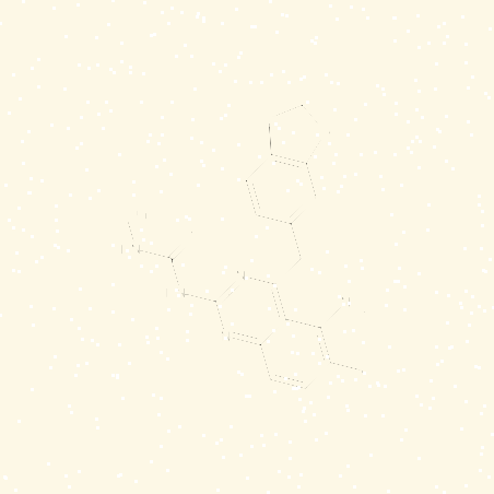 CCCCNC(=O)Nc1nc(Cc2ccc3c(c2)OCO3)c2c(N)c(Cl)ccc2n1